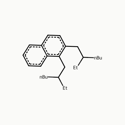 CCCCC(CC)Cc1ccc2ccccc2c1CC(CC)CCCC